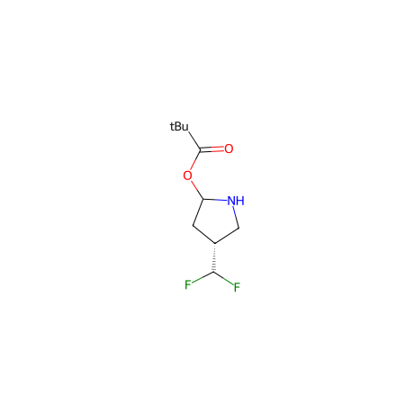 CC(C)(C)C(=O)OC1C[C@@H](C(F)F)CN1